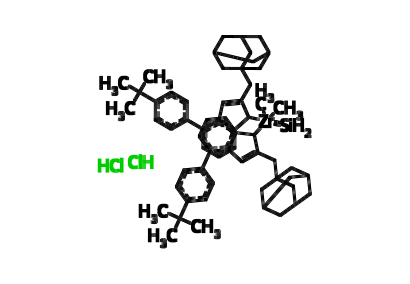 CC(C)(C)c1ccc(-c2cccc3c2C=C(CC24CC5CC(CC(C5)C2)C4)[CH]3[Zr]([CH3])([CH3])(=[SiH2])[CH]2C(CC34CC5CC(CC(C5)C3)C4)=Cc3c(-c4ccc(C(C)(C)C)cc4)cccc32)cc1.Cl.Cl